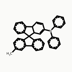 Cc1ccc2c(c1)-c1ccccc1C21c2ccccc2C2C=CC(N(c3ccccc3)c3ccccc3)=CC21